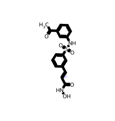 CC(=O)c1cccc(NS(=O)(=O)c2cccc(/C=C/C(=O)NO)c2)c1